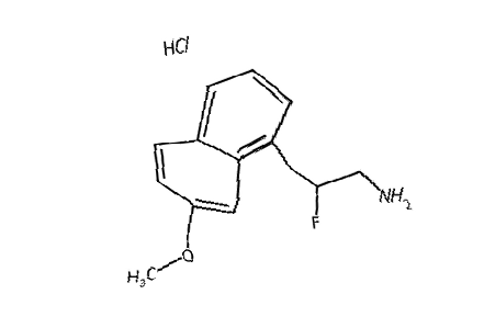 COc1ccc2cccc(C(F)CN)c2c1.Cl